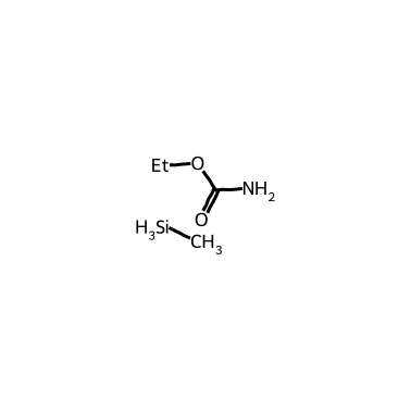 CCOC(N)=O.C[SiH3]